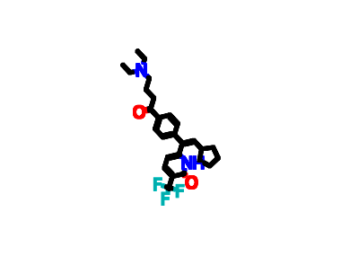 CCN(CC)CCCC(=O)c1ccc(/C(=C/C2CCCC2)c2ccc(C(F)(F)F)c(=O)[nH]2)cc1